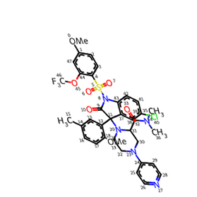 COc1ccc(S(=O)(=O)N2C(=O)C(c3cc(C)ccc3OC)(N3CCN(c4ccncc4)CC3C(=O)N(C)C)c3cc(Cl)ccc32)c(OC(F)(F)F)c1